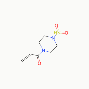 C=CC(=O)N1CCN([SH](=O)=O)CC1